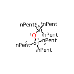 CCCC[CH2][Sn]([CH2]CCCC)([CH2]CCCC)[O][Sn]([CH2]CCCC)([CH2]CCCC)[CH2]CCCC